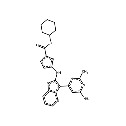 Cc1nc(N)cc(-c2c(Nc3ccn(C(=O)OC4CCCCC4)n3)nc3cccnn23)n1